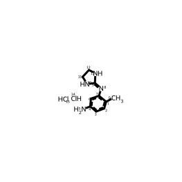 Cc1ccc(N)cc1N=C1NCCN1.Cl.Cl